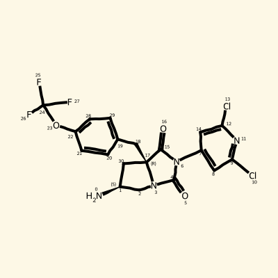 N[C@@H]1CN2C(=O)N(c3cc(Cl)nc(Cl)c3)C(=O)[C@@]2(Cc2ccc(OC(F)(F)F)cc2)C1